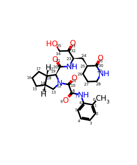 Cc1ccccc1NC(=O)C(=O)N1C[C@@H]2CCC[C@@H]2[C@H]1C(=O)N[C@H](C[C@@H]1CCCNC1=O)C(=O)CO